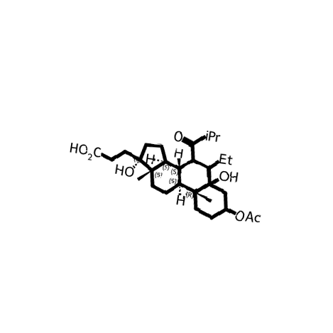 CCC1C(C(=O)C(C)C)[C@H]2[C@@H]3CC[C@](O)(CCC(=O)O)[C@@]3(C)CC[C@@H]2[C@@]2(C)CCC(OC(C)=O)CC12O